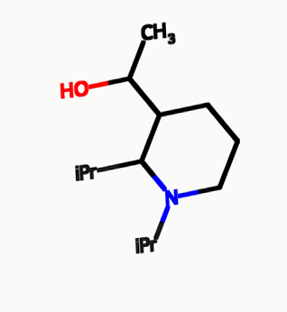 CC(C)C1C(C(C)O)CCCN1C(C)C